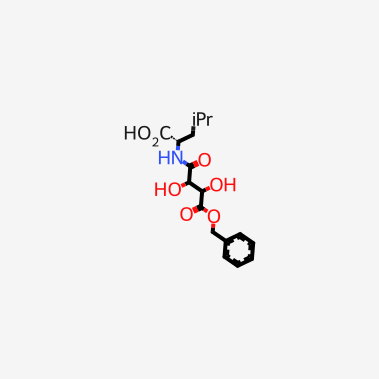 CC(C)C[C@H](NC(=O)C(O)C(O)C(=O)OCc1ccccc1)C(=O)O